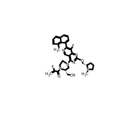 C=C(F)C(=O)N1CCN(c2nc(OC[C@@H]3CCCN3C)nc3c(F)c(-c4cccc5cccc(C)c45)ncc23)C[C@@H]1CC#N